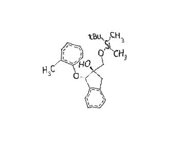 Cc1ccccc1O[C@H]1c2ccccc2C[C@@]1(O)CO[Si](C)(C)C(C)(C)C